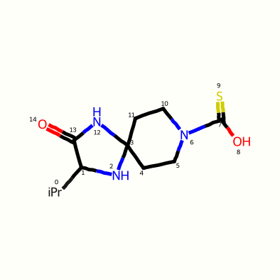 CC(C)C1NC2(CCN(C(O)=S)CC2)NC1=O